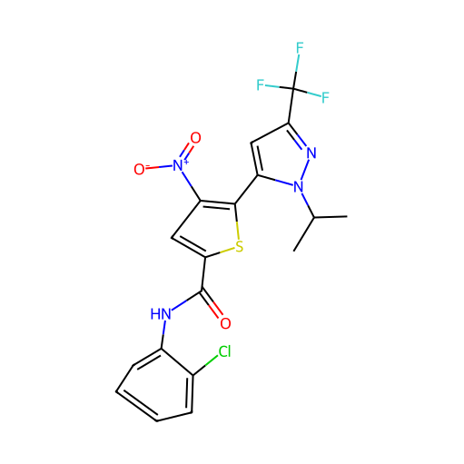 CC(C)n1nc(C(F)(F)F)cc1-c1sc(C(=O)Nc2ccccc2Cl)cc1[N+](=O)[O-]